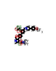 Cc1nc(CO)c(-c2ccc(-c3ccc(CN4CCC(c5ccc(OC(F)(F)F)cc5)CC4)cc3)cc2)c(OC(=O)N(C(C)C)C(C)C)c1Cl.O=C(O)C(F)(F)F